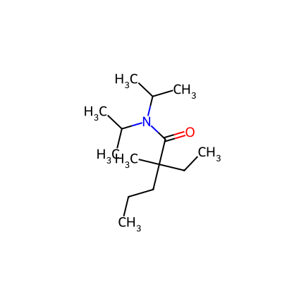 CCCC(C)(CC)C(=O)N(C(C)C)C(C)C